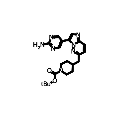 CC(C)(C)OC(=O)N1CCC(Cc2ccc3ncc(-c4cnc(N)nc4)n3n2)CC1